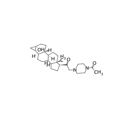 CC(=O)N1CCN(CC(=O)[C@H]2CC[C@H]3[C@@H]4CC[C@H]5C6C[C@@]6(O)CC[C@@H]5[C@H]4CC[C@]23C)CC1